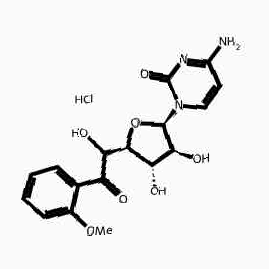 COc1ccccc1C(=O)C(O)[C@H]1O[C@@H](n2ccc(N)nc2=O)[C@@H](O)[C@@H]1O.Cl